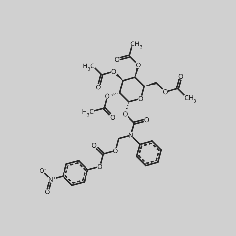 CC(=O)OC[C@H]1O[C@H](OC(=O)N(COC(=O)Oc2ccc([N+](=O)[O-])cc2)c2ccccc2)[C@H](OC(C)=O)[C@@H](OC(C)=O)[C@H]1OC(C)=O